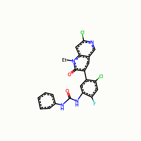 CCn1c(=O)c(-c2cc(NC(=O)Nc3ccccc3)c(F)cc2Cl)cc2cnc(Cl)cc21